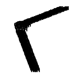 C=CC(=O)O.C=CC(=O)O.C=CC(=O)O.C=CC(=O)O.C=CC(=O)O.[NaH].[NaH].[NaH].[NaH].[NaH].[NaH].[NaH].[NaH].[NaH].[NaH].[NaH].[NaH].[NaH].[NaH].[NaH].[NaH].[NaH].[NaH].[NaH].[NaH].[NaH].[NaH].[NaH].[NaH].[NaH].[NaH].[NaH].[NaH].[NaH].[NaH].[NaH].[NaH].[NaH].[NaH].[NaH].[NaH].[NaH].[NaH].[NaH].[NaH].[NaH].[NaH].[NaH].[NaH].[NaH].[NaH].[NaH].[NaH].[NaH].[NaH].[NaH].[NaH].[NaH].[NaH].[NaH].[NaH].[NaH].[NaH].[NaH].[NaH].[NaH].[NaH].[NaH].[NaH].[NaH].[NaH].[NaH].[NaH].[NaH].[NaH].[NaH].[NaH].[NaH].[NaH].[NaH].[NaH].[NaH].[NaH].[NaH].[NaH].[NaH].[NaH].[NaH].[NaH].[NaH].[NaH].[NaH].[NaH].[NaH].[NaH].[NaH].[NaH].[NaH].[NaH].[NaH]